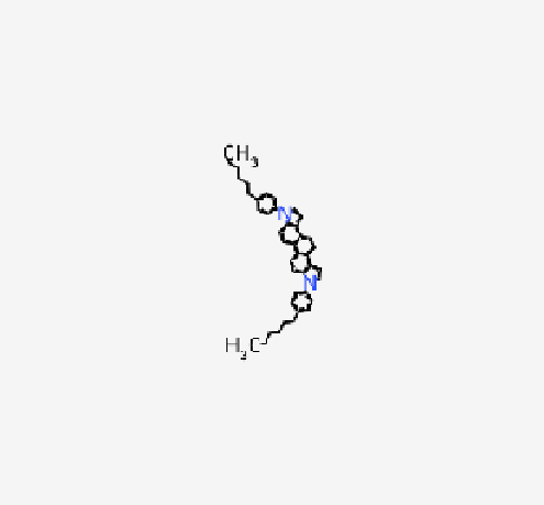 CCCCCCc1ccc(-n2ccc3c4ccc5c(ccc6c5ccn6-c5ccc(CCCCCC)cc5)c4ccc32)cc1